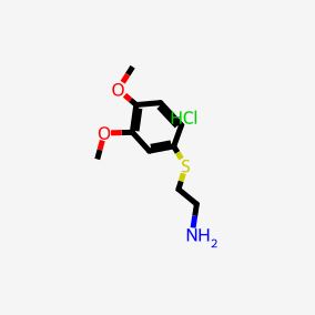 COc1ccc(SCCN)cc1OC.Cl